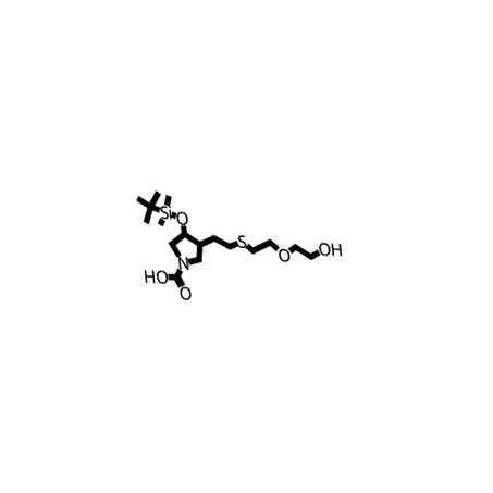 CC(C)(C)[Si](C)(C)OC1CN(C(=O)O)CC1CCSCCOCCO